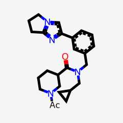 CC(=O)N1CCCC(C(=O)N(Cc2cccc(-c3cn4c(n3)CCC4)c2)CC2CC2)C1